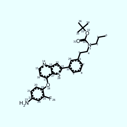 CCCN(CCc1cccc(-c2cc3nccc(Oc4ccc(N)cc4F)c3s2)c1)C(=O)OC(C)(C)C